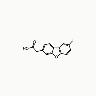 O=C(O)Cc1ccc2c(c1)oc1ccc(I)cc12